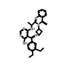 C=C1c2ccccc2N=C(C(C)Nc2ncnc(N)c2C(=N)c2ccc(CC)c(CC)c2)N1C1CCC1